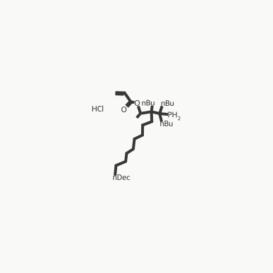 C=CC(=O)OC(C)C(CCCC)(CCCCCCCCCCCCCCCCCC)C(P)(CCCC)CCCC.Cl